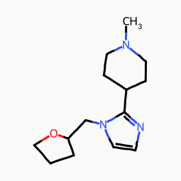 CN1CCC(c2nccn2CC2CCCO2)CC1